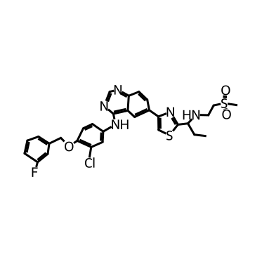 CCC(NCCS(C)(=O)=O)c1nc(-c2ccc3ncnc(Nc4ccc(OCc5cccc(F)c5)c(Cl)c4)c3c2)cs1